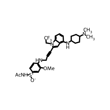 COc1cc([S+]([O-])NC(C)=O)ccc1NCC#Cc1cc2c(NC3CCC(N(C)C)CC3)cccc2n1CC(F)(F)F